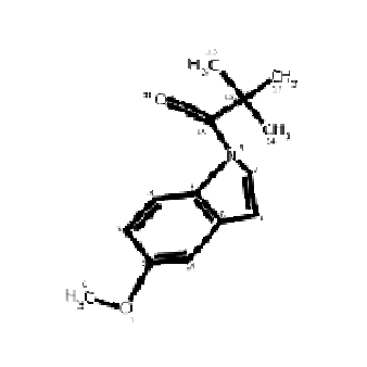 COc1ccc2c(ccn2C(=O)C(C)(C)C)c1